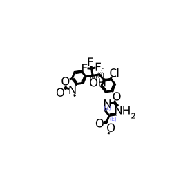 C=C(/N=C\C(=C/N)C(=O)OC)Oc1ccc([C@@H](C)[C@@](O)(c2ccc3oc(=O)n(C)c3c2)C(F)(F)F)c(Cl)c1